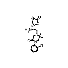 C[C@@H]1C[C@@H](C(N)CN2CC(=O)N(c3ccccc3Cl)CC2(C)C)OC1=O